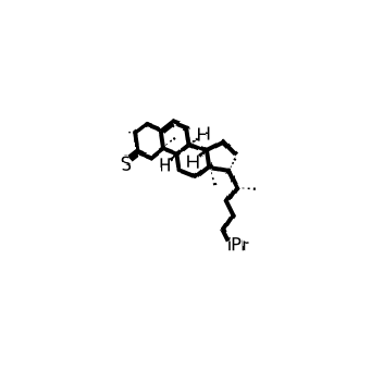 CC(C)CCC[C@@H](C)[C@H]1CC[C@H]2[C@@H]3CC=C4C[CH]C(=S)C[C@]4(C)[C@H]3CC[C@]12C